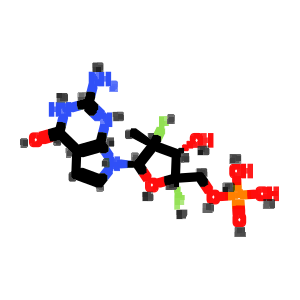 C[C@]1(F)[C@H](n2ccc3c(=O)[nH]c(N)nc32)O[C@](F)(COP(=O)(O)O)[C@H]1O